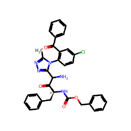 Cc1nnc(C(N)C(=O)[C@H](Cc2ccccc2)NC(=O)OCc2ccccc2)n1-c1ccc(Cl)cc1C(=O)c1ccccc1